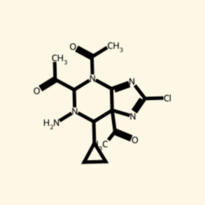 CC(=O)C1N(C(C)=O)C2=NC(Cl)=NC2(C(C)=O)C(C2CC2)N1N